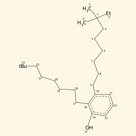 CCC(C)(C)CCCCCCc1cccc(O)c1CCCCCCC(C)(C)C